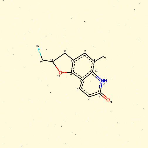 Cc1cc2c(c3ccc(=O)[nH]c13)OC(CF)C2